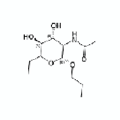 CCCO[C@@H]1OC(CC)[C@@H](O)[C@H](O)C1NC(C)=O